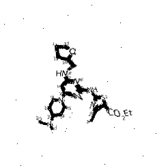 CCOC(=O)c1sc(Nc2nc(NCC3CCCO3)cc(N3CCC(N(C)C)CC3)n2)nc1C